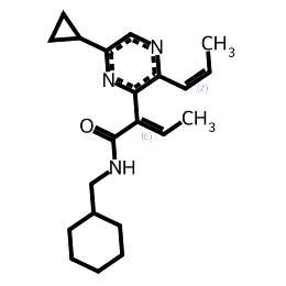 C/C=C\c1ncc(C2CC2)nc1/C(=C\C)C(=O)NCC1CCCCC1